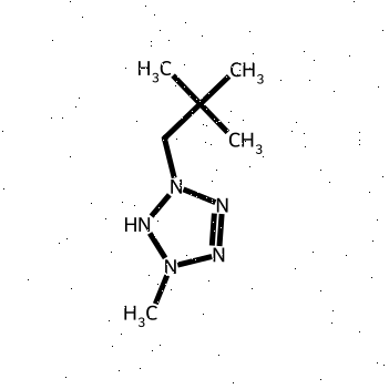 CN1N=NN(CC(C)(C)C)N1